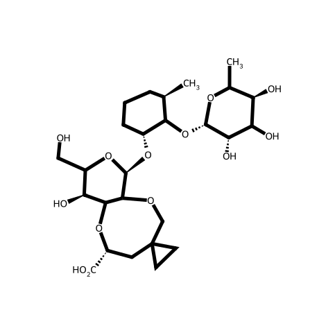 CC1O[C@@H](OC2[C@H](C)CCC[C@H]2O[C@@H]2OC(CO)[C@H](O)C3O[C@@H](C(=O)O)CC4(CC4)COC32)[C@@H](O)C(O)[C@@H]1O